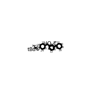 CC(C)(C)[Si](C)(C)OC1CCC(Cc2cccc(C3(C(=O)O)CCCCC3)c2)CC1